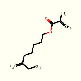 C=C(CC)CCCCCOC(=O)C(=C)C